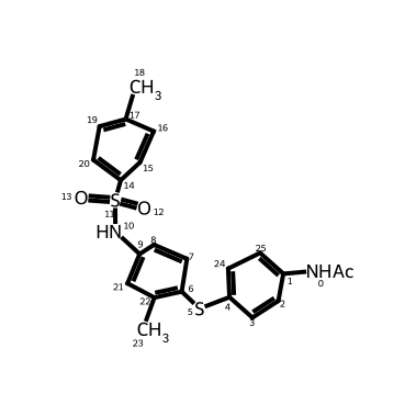 CC(=O)Nc1ccc(Sc2ccc(NS(=O)(=O)c3ccc(C)cc3)cc2C)cc1